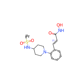 CC(C)S(=O)(=O)NC1CCN(c2ccccc2/C=C/C(=O)NO)CC1